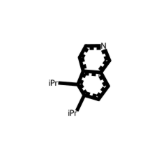 CC(C)c1ccc2cnccc2c1C(C)C